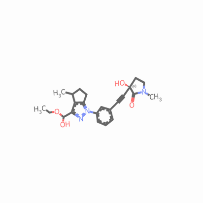 CCOC(O)c1nn(-c2cccc(C#C[C@]3(O)CCN(C)C3=O)c2)c2c1C(C)CC2